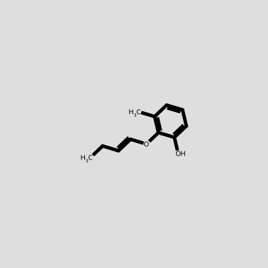 CCC=COc1c(C)cccc1O